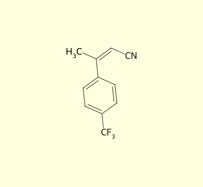 C/C(=C/C#N)c1ccc(C(F)(F)F)cc1